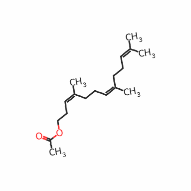 CC(=O)OCC/C=C(/C)CC/C=C(/C)CCC=C(C)C